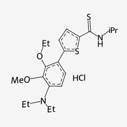 CCOc1c(-c2ccc(C(=S)NC(C)C)s2)ccc(N(CC)CC)c1OC.Cl